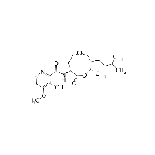 COc1ccnc(C(=O)N[C@H]2CCOC[C@@H](CCC(C)C)[C@H](C)OC2=O)c1O